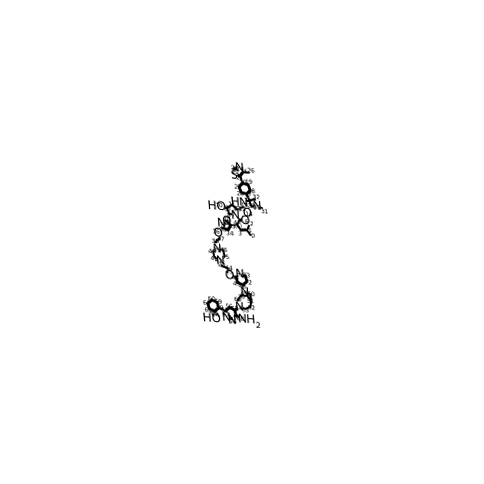 CC(C)=C[C@H](C(=O)N1C[C@H](O)C[C@H]1C(=O)NC1(c2ccc(-c3scnc3C)cc2)CN(C)C1)c1cc(OCCN2CCN(CCOc3cc(N4CC5CCN(c6cc(-c7ccccc7O)nnc6N)CC4C5)ccn3)CC2)no1